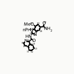 CCCn1c(NC(=O)c2nccc3ccccc23)nc2cc(C(N)=O)cc(OC)c21